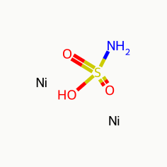 NS(=O)(=O)O.[Ni].[Ni]